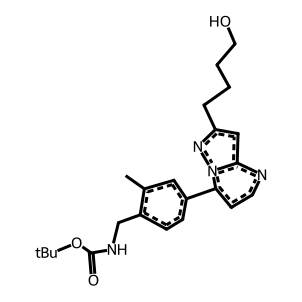 Cc1cc(-c2ccnc3cc(CCCCO)nn23)ccc1CNC(=O)OC(C)(C)C